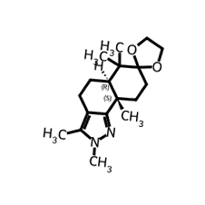 Cc1c2c(nn1C)[C@@]1(C)CCC3(OCCO3)C(C)(C)[C@@H]1CC2